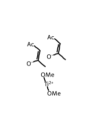 CC(=O)/C=C(/C)[O-].CC(=O)/C=C(/C)[O-].C[O][Ti+2][O]C